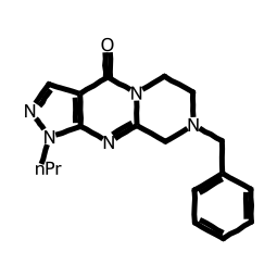 CCCn1ncc2c(=O)n3c(nc21)CN(Cc1ccccc1)CC3